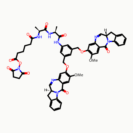 COc1cc2c(cc1OCc1cc(COc3cc4c(cc3OC)C(=O)N3c5ccccc5C[C@H]3C=N4)cc(NC(=O)[C@H](C)NC(=O)[C@H](C)NC(=O)CCCCC(=O)ON3C(=O)CCC3=O)c1)N=C[C@@H]1Cc3ccccc3N1C2=O